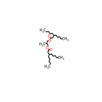 CCCCCC(CCCCC)CC(=O)OCC(C)COC(=O)CC(CCCCC)CCCCC